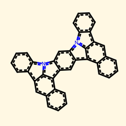 c1ccc2c(c1)cc1c3ccccc3n3c4cc5c(cc4c2c13)c1c2ccccc2cc2c3ccccc3n5c21